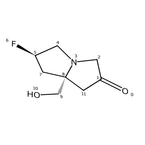 O=C1CN2C[C@H](F)C[C@]2(CO)C1